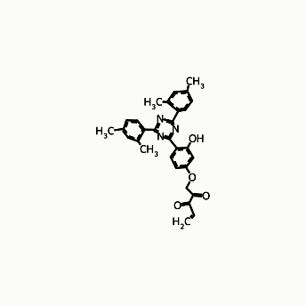 C=CC(=O)C(=O)COc1ccc(-c2nc(-c3ccc(C)cc3C)nc(-c3ccc(C)cc3C)n2)c(O)c1